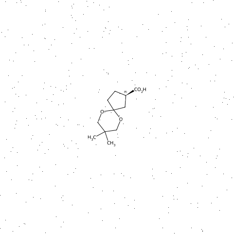 CC1(C)COC2(CC[C@@H](C(=O)O)C2)OC1